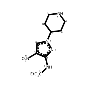 CCOC(=O)Nc1nn(C2CCNCC2)cc1[N+](=O)[O-]